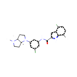 CC(=O)N1CC[C@@H]2[C@@H]1CCN2c1cc(F)cc(NC(=O)c2cc3c(F)ccc(C)c3[nH]2)c1